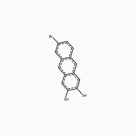 Sc1cc2cc3ccc(Br)cc3cc2cc1S